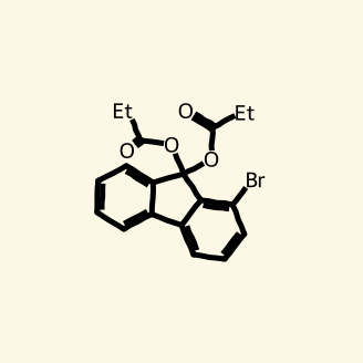 CCC(=O)OC1(OC(=O)CC)c2ccccc2-c2cccc(Br)c21